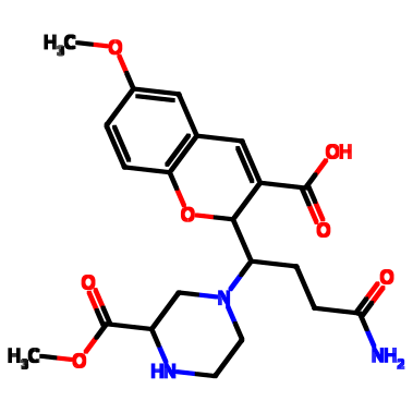 COC(=O)C1CN(C(CCC(N)=O)C2Oc3ccc(OC)cc3C=C2C(=O)O)CCN1